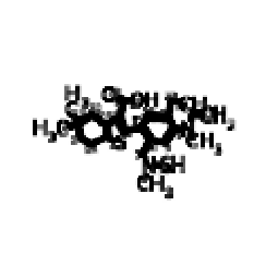 C=CN(C)c1cc(CN(C)S)c(-c2sc3c(c2C(=O)O)CC(C)(C)CC3)cc1CC